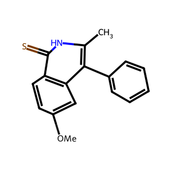 COc1ccc2c(=S)[nH]c(C)c(-c3ccccc3)c2c1